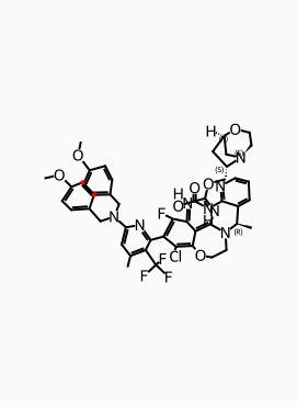 COc1ccc(CN(Cc2ccc(OC)cc2)c2cc(C)c(C(F)(F)F)c(-c3c(Cl)c4c5c(nc(OC[C@@H]6C[C@@H]7C[N@@]6CCO7)nc5c3F)N([C@H](C)c3cccnc3NC(=O)O)CCO4)n2)cc1